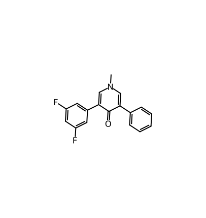 Cn1cc(-c2ccccc2)c(=O)c(-c2cc(F)cc(F)c2)c1